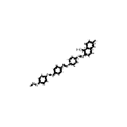 CN=Nc1ccc(N=Nc2ccc(N=Nc3ccc(N=Nc4ccc5cc(C)ccc5c4O)cc3)cc2)cc1